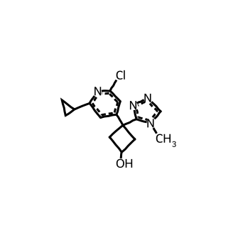 Cn1cnnc1C1(c2cc(Cl)nc(C3CC3)c2)CC(O)C1